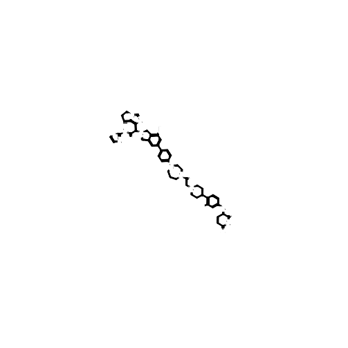 O=C1CCC(Nc2ccc(C3CCN(CC(=O)N4CCCN(c5ccc(-c6cc(F)c7c(c6)C(=O)N(C(C(=O)Nc6nccs6)c6ncn8c6CCC8)C7)cc5)CC4)CC3)c(F)c2)C(=O)N1